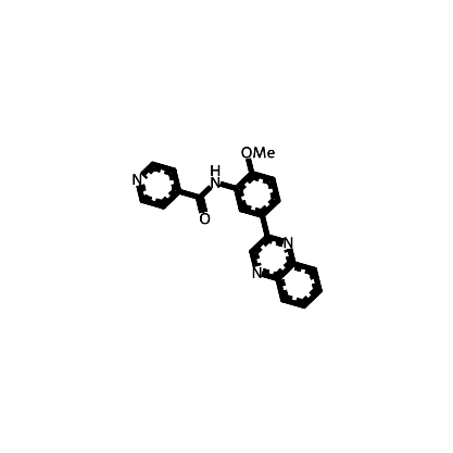 COc1ccc(-c2cnc3ccccc3n2)cc1NC(=O)c1ccncc1